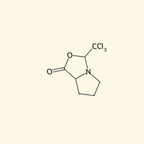 O=C1OC(C(Cl)(Cl)Cl)N2CCCC12